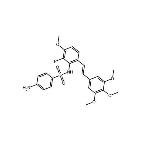 COc1ccc(C=Cc2cc(OC)c(OC)c(OC)c2)c(NS(=O)(=O)c2ccc(N)cc2)c1F